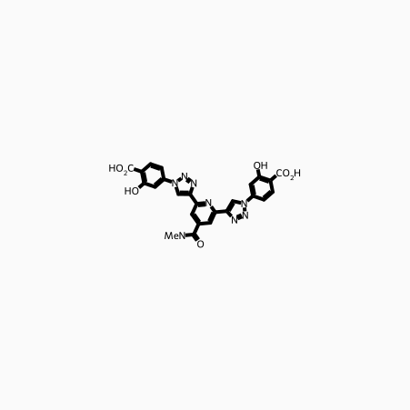 CNC(=O)c1cc(-c2cn(-c3ccc(C(=O)O)c(O)c3)nn2)nc(-c2cn(-c3ccc(C(=O)O)c(O)c3)nn2)c1